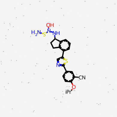 CC(C)Oc1ccc(-c2ncc(-c3cccc4c3CCC4NN(O)SN)s2)cc1C#N